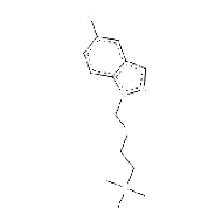 C[Si](C)(C)CCOCn1ncc2cc(C=O)ccc21